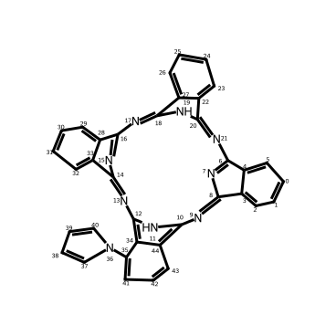 c1ccc2c(c1)-c1nc-2nc2[nH]c(nc3nc(nc4[nH]c(n1)c1ccccc41)-c1ccccc1-3)c1c(-n3cccc3)cccc21